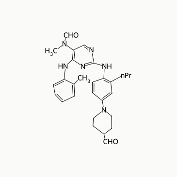 CCCc1cc(N2CCC(C=O)CC2)ccc1Nc1ncc(N(C)C=O)c(Nc2ccccc2C)n1